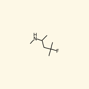 CNC(C)CC(C)(C)F